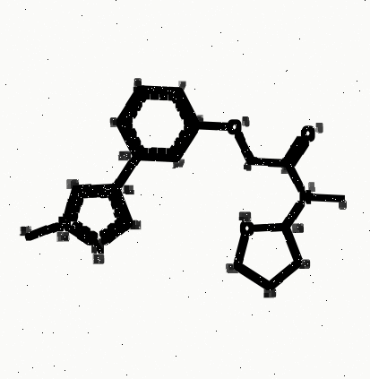 CN(C(=O)COc1c[c]cc(-c2cnn(C)c2)c1)C1CCCO1